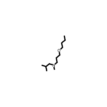 CCCCOCCCN(C)CC(C)C